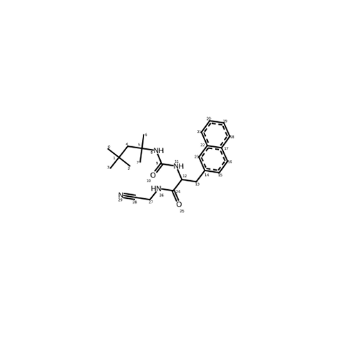 CC(C)(C)CC(C)(C)NC(=O)NC(Cc1ccc2ccccc2c1)C(=O)NCC#N